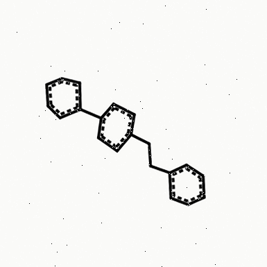 c1ccc(CCc2ccc(-c3ccccc3)cc2)cc1